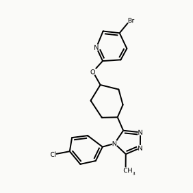 Cc1nnc(C2CCC(Oc3ccc(Br)cn3)CC2)n1-c1ccc(Cl)cc1